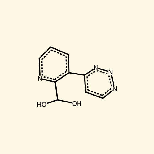 OC(O)c1ncccc1-c1ccnnn1